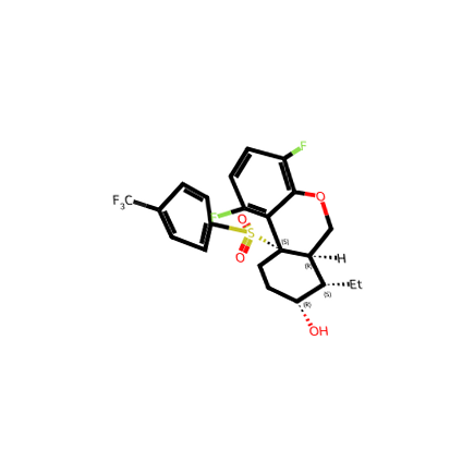 CC[C@@H]1[C@H](O)CC[C@@]2(S(=O)(=O)c3ccc(C(F)(F)F)cc3)c3c(F)ccc(F)c3OC[C@@H]12